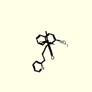 O=C1CC2C([N+](=O)[O-])=CC=C3C=CC=CC32C(=O)N1CCc1ccccn1